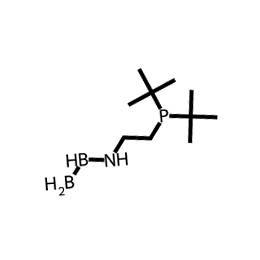 BBNCCP(C(C)(C)C)C(C)(C)C